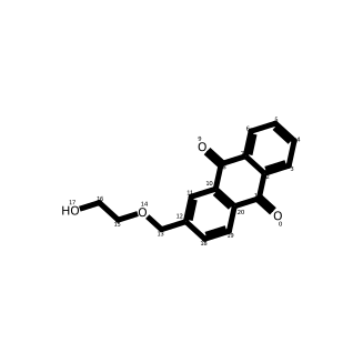 O=C1c2ccccc2C(=O)c2cc(COCCO)ccc21